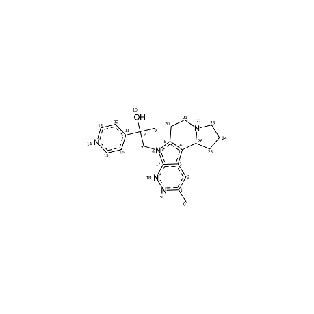 Cc1cc2c3c(n(CC(C)(O)c4ccncc4)c2nn1)CCN1CCCC31